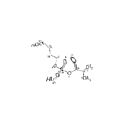 C=C(C)C(=O)OS(=O)(=O)OCCCCCCCCCCC.[LiH]